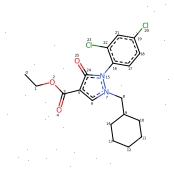 CCOC(=O)c1cn(CC2CCCCC2)n(-c2ccc(Cl)cc2Cl)c1=O